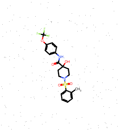 Cc1ccccc1S(=O)(=O)N1CCC(O)(C(=O)Nc2ccc(OC(F)(F)F)cc2)CC1